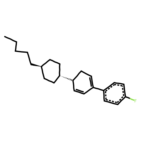 CCCCC[C@H]1CC[C@H](C2C=CC(c3ccc(F)cc3)=CC2)CC1